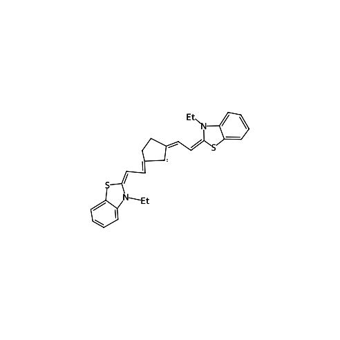 CCN1C(=CC=C2[C]C(=CC=C3Sc4ccccc4N3CC)CC2)Sc2ccccc21